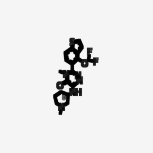 CN1CCC[C@@H](Nc2nnc(-c3ccc4sccc4c3OC(F)F)n(C)c2=O)C1